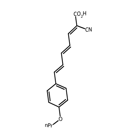 CCCOc1ccc(/C=C/C=C/C=C(\C#N)C(=O)O)cc1